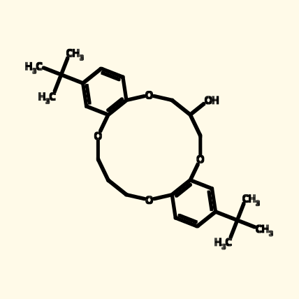 CC(C)(C)c1ccc2c(c1)OCCCOc1ccc(C(C)(C)C)cc1OCC(O)CO2